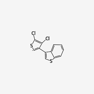 Clc1s[c]c(-c2csc3ccccc23)c1Cl